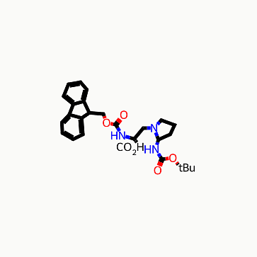 CC(C)(C)OC(=O)NC1CCCN1CC(NC(=O)OCC1c2ccccc2-c2ccccc21)C(=O)O